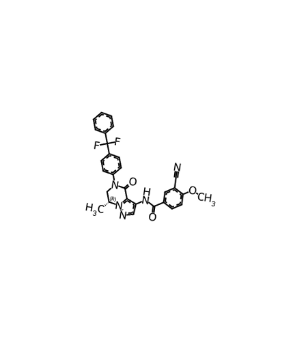 COc1ccc(C(=O)Nc2cnn3c2C(=O)N(c2ccc(C(F)(F)c4ccccc4)cc2)C[C@H]3C)cc1C#N